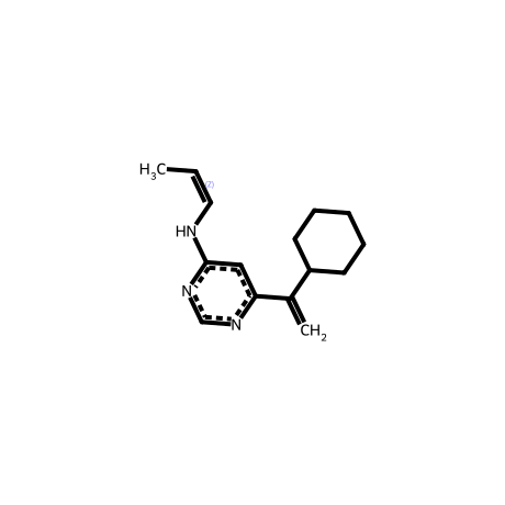 C=C(c1cc(N/C=C\C)ncn1)C1CCCCC1